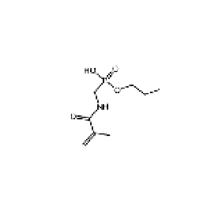 C=C(C)C(=O)NCP(=O)(O)OCCC